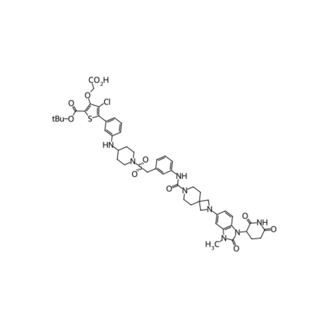 Cn1c(=O)n(C2CCC(=O)NC2=O)c2ccc(N3CC4(CCN(C(=O)Nc5cccc(CS(=O)(=O)N6CCC(Nc7cccc(-c8sc(C(=O)OC(C)(C)C)c(OCC(=O)O)c8Cl)c7)CC6)c5)CC4)C3)cc21